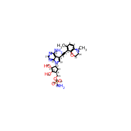 Cc1ccc2c(c1C#Cc1cn([C@@H]3C[C@@H](COS(N)(=O)=O)[C@@H](O)[C@H]3O)c3ncnc(N)c13)OCCN2C